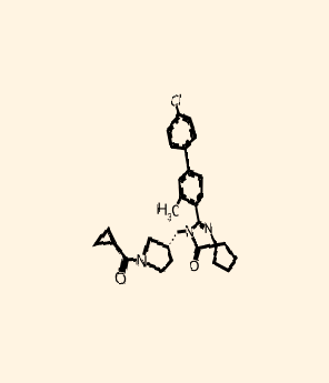 Cc1cc(-c2ccc(Cl)cc2)ccc1C1=NC2(CCCC2)C(=O)N1C[C@@H]1CCN(C(=O)C2CC2)C1